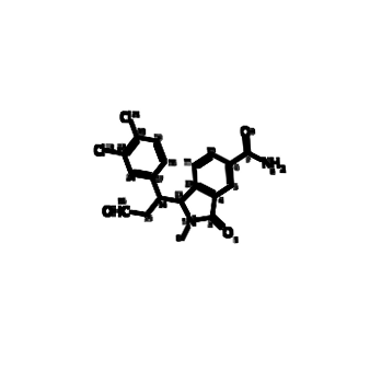 CN1C(=O)c2cc(C(N)=O)ccc2C1C(CC=O)c1ccc(Cl)c(Cl)c1